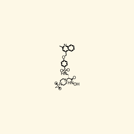 Cc1cc(COc2ccc(S(=O)(=O)NC[C@H](C(=O)NO)N3CCN(S(C)(=O)=O)CC3)cc2)c2ccccc2n1